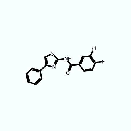 O=C(Nc1nc(-c2ccccc2)cs1)c1ccc(F)c(Cl)c1